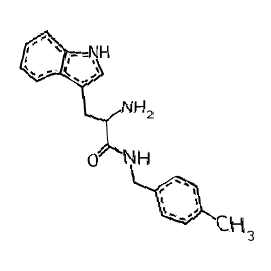 Cc1ccc(CNC(=O)C(N)Cc2c[nH]c3ccccc23)cc1